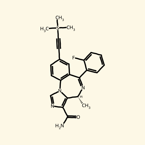 C[C@H]1N=C(c2ccccc2F)c2cc(C#CS(C)(C)C)ccc2-n2cnc(C(N)=O)c21